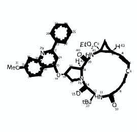 CCOC(=O)[C@]12C[C@H]1/C=C\CCCC(=O)N[C@@H](C(C)(C)C)C(=O)N1C[C@H](Oc3cc(-c4ccccc4)nc4cc(OC)ccc34)C[C@H]1C(=O)N2